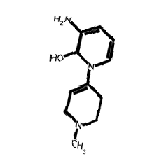 CN1CC=C(N2C=CC=C(N)C2O)CC1